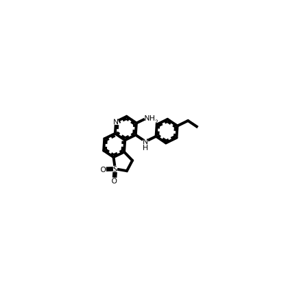 CCc1ccc(Nc2c(N)cnc3ccc4c(c23)CCS4(=O)=O)cc1